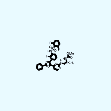 COC(=O)N[C@@H](C)CNc1nccc(-c2sc(-c3ccccc3)nc2-c2cccc(NS(=O)(=O)c3c(F)cccc3F)c2F)n1